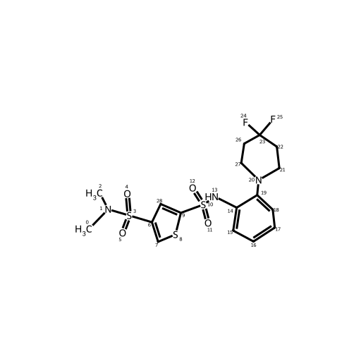 CN(C)S(=O)(=O)c1csc(S(=O)(=O)Nc2ccccc2N2CCC(F)(F)CC2)c1